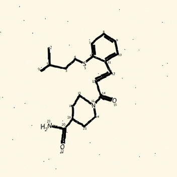 CC(C)CCSc1ccccc1C=CC(=O)N1CCC(C(N)=O)CC1